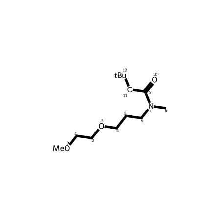 COCCOCCCN(C)C(=O)OC(C)(C)C